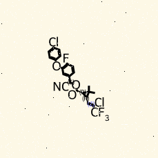 CC1(C)[C@H](C(=O)O[C@H](C#N)c2ccc(F)c(Oc3ccc(Cl)cc3)c2)[C@@H]1/C=C(\Cl)C(F)(F)F